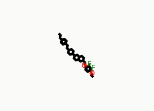 CCCc1ccc(CCC2CCC(C3CCC4CC(COc5ccc(OCC)c(F)c5F)CCC4C3)CC2)cc1